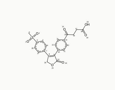 CS(=O)(=O)c1ccc(C2=C(c3ccc(C(=O)CCC(=O)O)cc3)C(=O)OC2)cc1